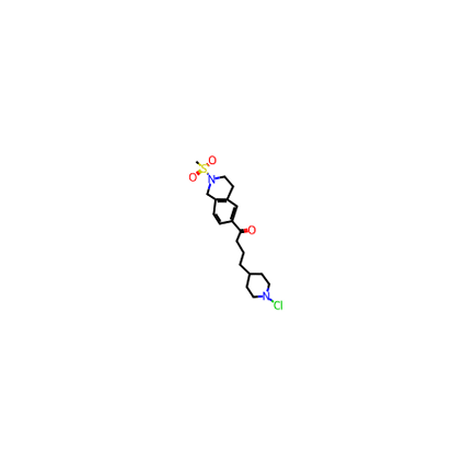 CS(=O)(=O)N1CCc2cc(C(=O)CCCC3CCN(Cl)CC3)ccc2C1